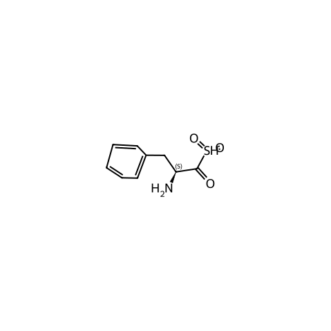 N[C@@H](Cc1ccccc1)C(=O)[SH](=O)=O